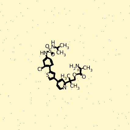 CC(C)NS(=O)(=O)Nc1ccc(-c2cc(-c3ccnc(C(C)(C)COC(=O)[C@H](C)N)c3)cs2)c(Cl)c1